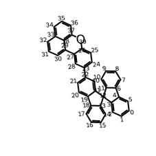 c1ccc2c(c1)-c1ccccc1C21c2ccccc2-c2ccc(-c3ccc4c(c3)-c3cccc5cccc(c35)O4)cc21